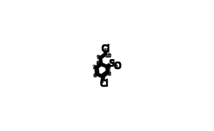 O=S=C1C=C(Cl)C=CC1CCCl